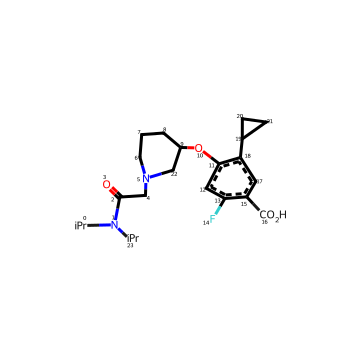 CC(C)N(C(=O)CN1CCCC(Oc2cc(F)c(C(=O)O)cc2C2CC2)C1)C(C)C